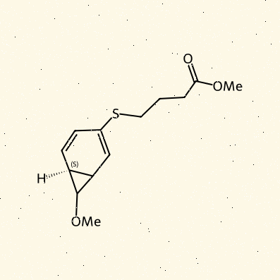 COC(=O)CCCSC1=CC2C(OC)[C@H]2C=C1